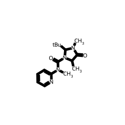 CC1C(=O)N(C)C(C(C)(C)C)N1C(=O)N(C)c1ccccn1